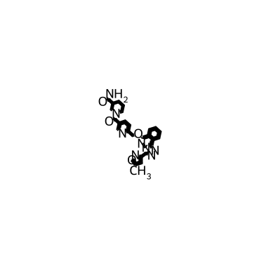 Cc1cc(-c2nnc3c4ccccc4c(OCc4ccc(C(=O)N5CCCC(C(N)=O)C5)cn4)nn23)no1